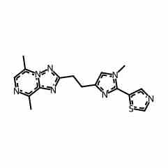 Cc1ncc(C)n2nc(CCc3cn(C)c(-c4cncs4)n3)nc12